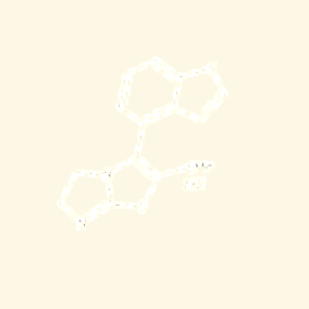 CSC1=C(c2cccc3sccc23)N2CCN=C2S1.Cl